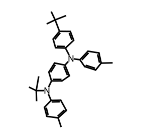 Cc1ccc(N(c2ccc(N(c3ccc(C)cc3)C(C)(C)C)cc2)c2ccc(C(C)(C)C)cc2)cc1